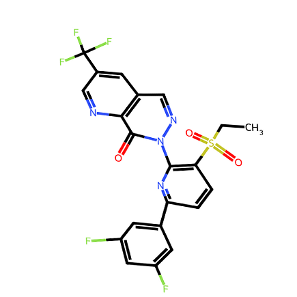 CCS(=O)(=O)c1ccc(-c2cc(F)cc(F)c2)nc1-n1ncc2cc(C(F)(F)F)cnc2c1=O